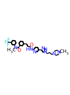 CN1CCN(CCCn2cc(-c3ccc(NC(=O)/C=C/c4cccc(C(=O)N(C)c5cccc(C(F)(F)F)c5)c4)nc3)nn2)CC1